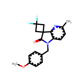 COc1ccc(CN2C(=O)C3(CC(F)(F)C3)c3nc(C)ccc32)cc1